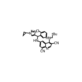 CC(C)(C)CNc1c(C#N)cnc2c(C#N)cc(NC(c3cn(C4CC4)nn3)c3ccccc3Cl)cc12